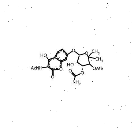 COC1[C@H](OC(N)=O)[C@H](O)C(Oc2ccc3c(O)c(NC(C)=O)c(=O)oc3c2)OC1(C)C